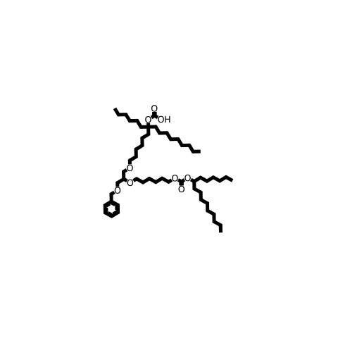 CCCCCCCCCC(CCCCCC)OC(=O)OCCCCCCOC(COCCCCCCC(CCCCCC)(CCCCCCCCC)OC(=O)O)COCc1ccccc1